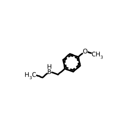 CCBCc1ccc(OC)cc1